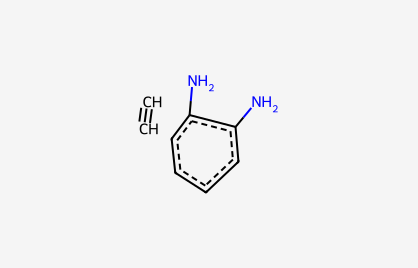 C#C.Nc1ccccc1N